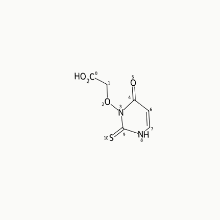 O=C(O)COn1c(=O)cc[nH]c1=S